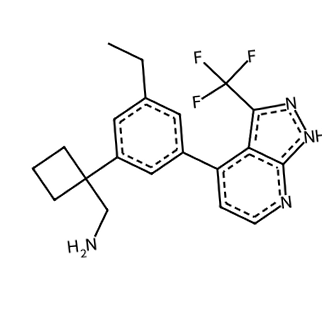 CCc1cc(-c2ccnc3[nH]nc(C(F)(F)F)c23)cc(C2(CN)CCC2)c1